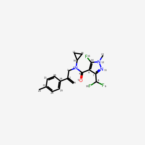 C=C(CN(C(=O)c1c(C(F)F)nn(C)c1F)C1CC1)c1ccc(C)cc1